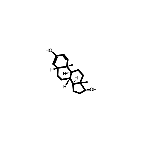 C[C@]12C=CC(O)=C[C@H]1CC[C@@H]1[C@@H]2CC[C@]2(C)[C@@H](O)CC[C@@H]12